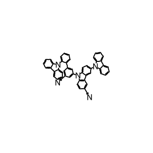 N#Cc1cc(-c2ccccc2-n2c3ccccc3c3ccccc32)cc(-n2c3ccc(C#N)cc3c3cc(-n4c5ccccc5c5ccccc54)ccc32)c1